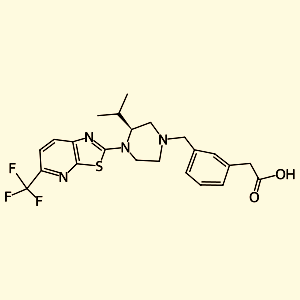 CC(C)[C@H]1CN(Cc2cccc(CC(=O)O)c2)CCN1c1nc2ccc(C(F)(F)F)nc2s1